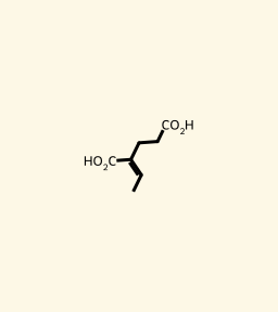 CC=C(CCC(=O)O)C(=O)O